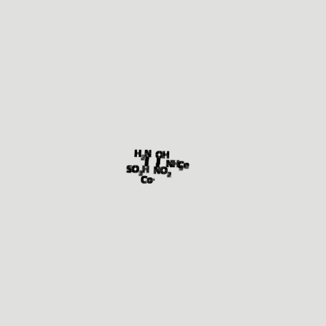 N.NS(=O)(=O)O.O=[N+]([O-])O.[Ce].[Co]